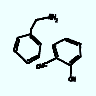 NCc1ccccc1.O=Cc1ccccc1O